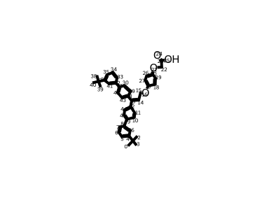 CC(C)(C)c1cccc(-c2ccc(C(=CCOc3ccc(OCC(=O)O)cc3)c3ccc(-c4cccc(C(C)(C)C)c4)cc3)cc2)c1